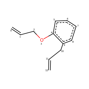 C=C[CH]Oc1ccccc1CC=C